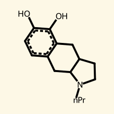 CCCN1CCC2Cc3c(ccc(O)c3O)CC21